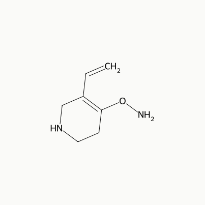 C=CC1=C(ON)CCNC1